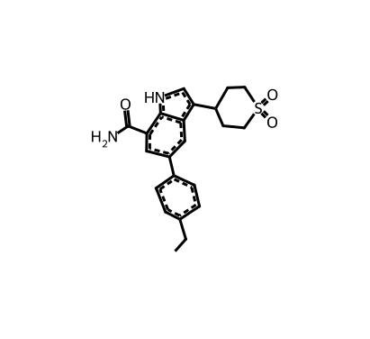 CCc1ccc(-c2cc(C(N)=O)c3[nH]cc(C4CCS(=O)(=O)CC4)c3c2)cc1